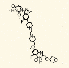 Cn1nc(-n2ccc(=O)[nH]c2=O)c2cc(F)c(C3CCN(CCN4CCC(COc5cc(F)c6c(=O)[nH]c(COC7CCOCC7)nc6c5)CC4)CC3)cc21